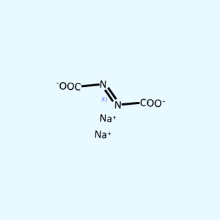 O=C([O-])/N=N/C(=O)[O-].[Na+].[Na+]